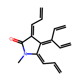 C=C/C=C1/C(=O)N(C)/C(=C/C=C)C1=C(C=C)C=C